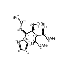 COC(=O)N(C(=O)OC)C(=NOCC(C)C)C(=NOC(C)C)n1cncn1